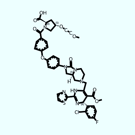 COCCO[C@H]1C[C@H](C(=O)O)N(C(=O)c2ccc(Oc3ccc(N4C[C@@H]5CN(CC6=C(C(=O)OC)[C@H](c7ccc(F)cc7Cl)N=C(c7nccs7)N6)CCN5C4=O)cc3)cc2)C1